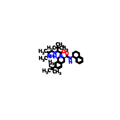 CNC(C)CNC(C(=O)N1Cc2cc(C(C)(C)C)ccc2C[C@H]1C(=O)N[C@@H]1CCCc2ccccc21)C(C)(C)C